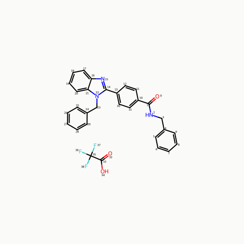 O=C(NCc1ccccc1)c1ccc(-c2nc3ccccc3n2Cc2ccccc2)cc1.O=C(O)C(F)(F)F